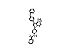 Nc1ncnc2c1c(-c1ccc(Oc3ccccc3)cc1)cn2C1CCC(NC(=O)c2ccccn2)CC1